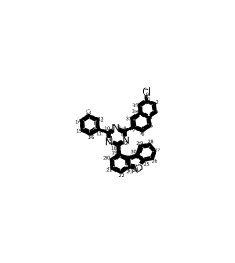 Clc1ccc2ccc(-c3nc(-c4ccccc4)nc(-c4cccc5oc6ccccc6c45)n3)cc2c1